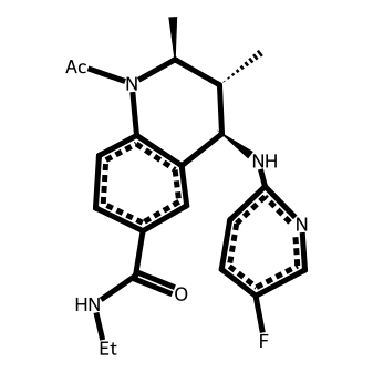 CCNC(=O)c1ccc2c(c1)[C@H](Nc1ccc(F)cn1)[C@@H](C)[C@H](C)N2C(C)=O